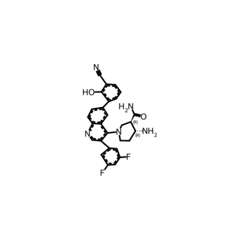 N#Cc1cccc(-c2ccc3ncc(-c4cc(F)cc(F)c4)c(N4CC[C@@H](N)[C@H](C(N)=O)C4)c3c2)c1O